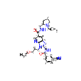 CCN1CCCC1CNC(=O)c1cnc2c(c1)nc(NC(=O)c1cccc(C#N)c1)n2CCCOC